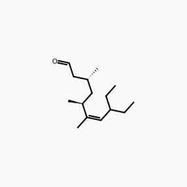 CCC(/C=C(/C)[C@@H](C)C[C@@H](C)CC=O)CC